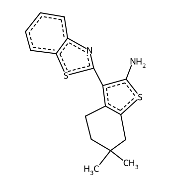 CC1(C)CCc2c(sc(N)c2-c2nc3ccccc3s2)C1